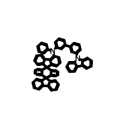 c1ccc(N(c2cccc(-c3cccc(-n4c5ccccc5c5ccccc54)c3)c2)c2cccc3c2-c2ccccc2C32c3ccccc3C3(c4ccccc4-c4ccccc43)c3ccccc32)cc1